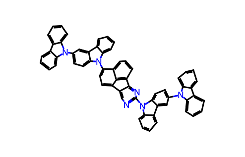 c1cc2c3c(ccc(-n4c5ccccc5c5cc(-n6c7ccccc7c7ccccc76)ccc54)c3c1)-c1cnc(-n3c4ccccc4c4cc(-n5c6ccccc6c6ccccc65)ccc43)nc1-2